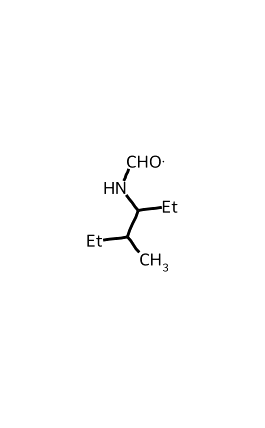 CCC(C)C(CC)N[C]=O